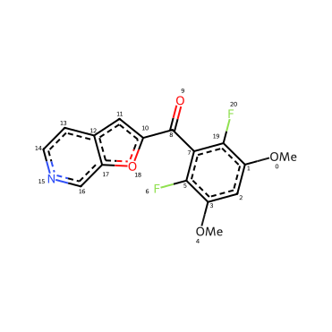 COc1cc(OC)c(F)c(C(=O)c2cc3ccncc3o2)c1F